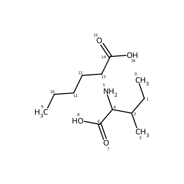 CCC(C)C(N)C(=O)O.CCCCCC(=O)O